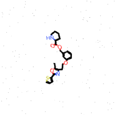 Cc1oc(-c2cccs2)nc1CCOc1cccc(COC(=O)C2CCCCN2)c1